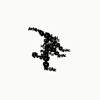 CC(=O)Nc1ccc(-c2ccc3nc(N)nc(O)c3c2)cc1.CC(=O)Nc1ccc(-c2ccc3nc(N)nc(OC(C)C)c3c2)cc1.CC(=O)Nc1ccc(-c2ccc3nc(N)nc(OCCN4CCOCC4)c3c2)cc1.COCCOc1nc(N)nc2ccc(-c3ccc(NC(C)=O)cc3)cc12